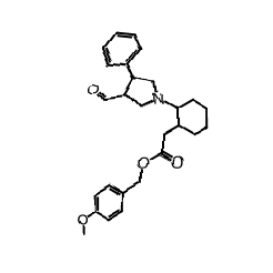 COc1ccc(COC(=O)CC2CCCCC2N2CC(C=O)C(c3ccccc3)C2)cc1